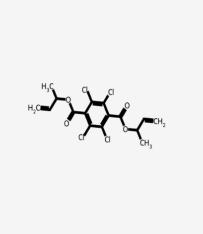 C=CC(C)OC(=O)c1c(Cl)c(Cl)c(C(=O)OC(C)C=C)c(Cl)c1Cl